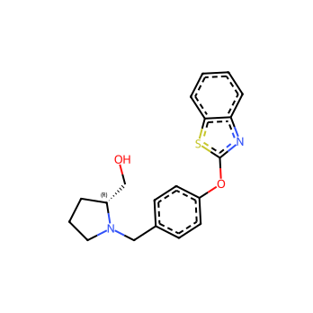 OC[C@H]1CCCN1Cc1ccc(Oc2nc3ccccc3s2)cc1